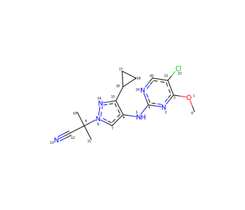 COc1nc(Nc2cn(C(C)(C)C#N)nc2C2CC2)ncc1Cl